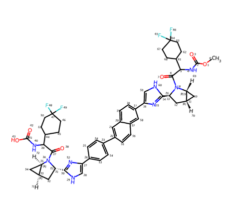 COC(=O)NC(C(=O)N1[C@@H]2C[C@@H]2C[C@H]1c1nc(-c2ccc3cc(-c4ccc(-c5c[nH]c([C@@H]6C[C@H]7C[C@H]7N6C(=O)C(NC(=O)O)C6CCC(F)(F)CC6)n5)cc4)ccc3c2)c[nH]1)C1CCC(F)(F)CC1